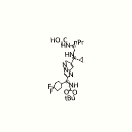 CCC[C@H](CN[C@@H](c1cnn2cc([C@@H](NC(=O)OC(C)(C)C)C3CCC(F)(F)CC3)nc2c1)C1CC1)NC(=O)O